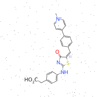 C[n+]1ccc(-c2ccc(/C=C3/SC(Nc4ccc(CC(=O)O)cc4)=NC3=O)cc2)cc1